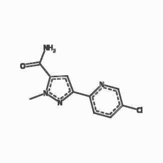 Cn1nc(-c2ccc(Cl)cn2)cc1C(N)=O